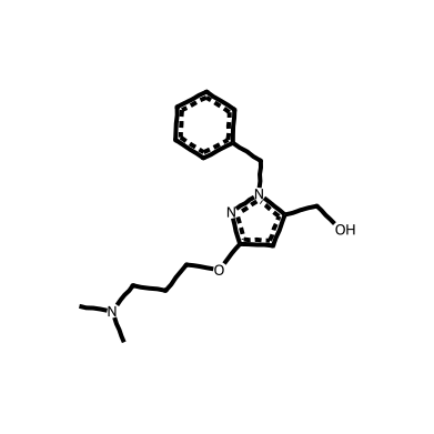 CN(C)CCCOc1cc(CO)n(Cc2ccccc2)n1